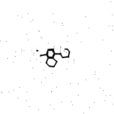 COC(=O)c1ccc(C2CC(C)CCN2)c2c1CCCC2